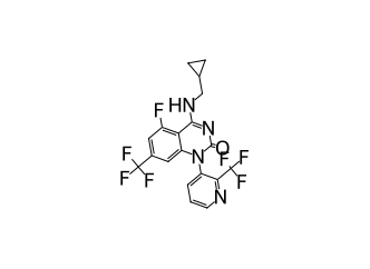 O=c1nc(NCC2CC2)c2c(F)cc(C(F)(F)F)cc2n1-c1cccnc1C(F)(F)F